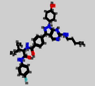 CCCCNc1ncc2c(-c3ccc(C(=O)NC(C(=O)Nc4ccc(F)cc4)C(C)C)cc3)nn([C@H]3CC[C@H](O)CC3)c2n1